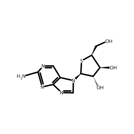 Nc1ncc2c(ncn2[C@H]2S[C@@H](CO)[C@@H](O)[C@@H]2O)n1